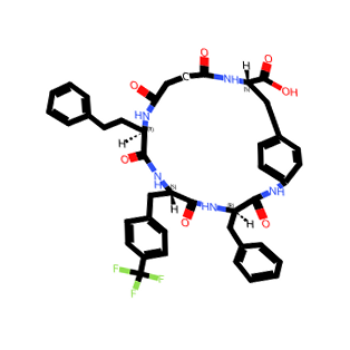 O=C1CCC(=O)N[C@H](CCc2ccccc2)C(=O)N[C@@H](Cc2ccc(C(F)(F)F)cc2)C(=O)N[C@H](Cc2ccccc2)C(=O)Nc2ccc(cc2)C[C@@H](C(=O)O)N1